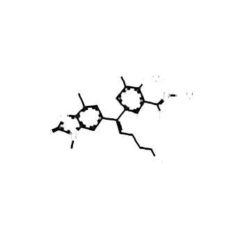 CO/N=C(\F)c1cc(C(=CCCCC(=O)O)c2cc(C)c3oc(=O)n(C)c3c2)cc(C)c1OC